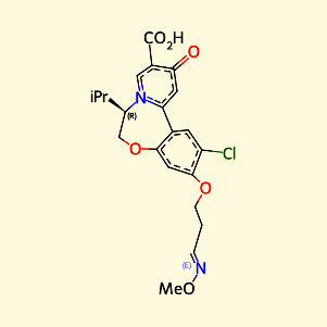 CO/N=C/CCOc1cc2c(cc1Cl)-c1cc(=O)c(C(=O)O)cn1[C@H](C(C)C)CO2